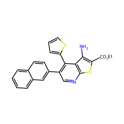 CCOC(=O)c1sc2ncc(-c3ccc4ccccc4c3)c(-c3cccs3)c2c1N